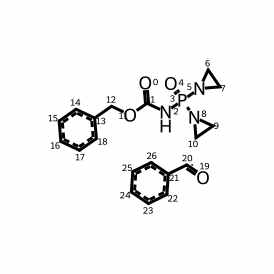 O=C(NP(=O)(N1CC1)N1CC1)OCc1ccccc1.O=[C]c1ccccc1